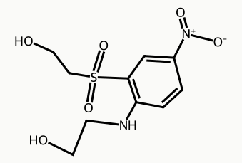 O=[N+]([O-])c1ccc(NCCO)c(S(=O)(=O)CCO)c1